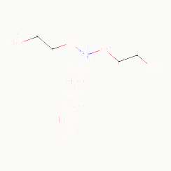 O.O.O.O.O.O.OCCONOCCO